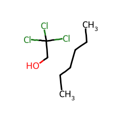 CCCCCC.OCC(Cl)(Cl)Cl